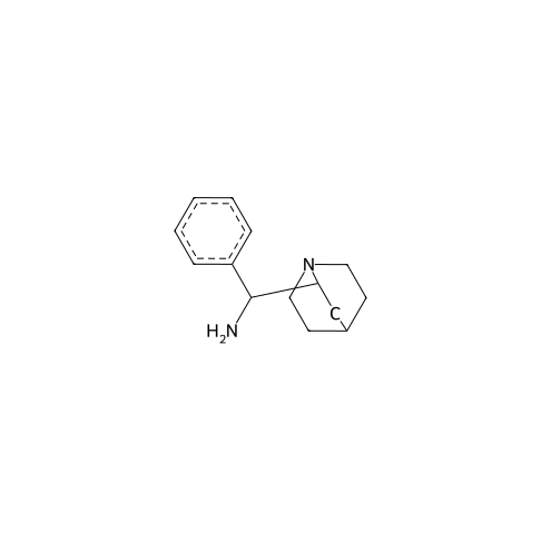 NC(c1ccccc1)C1CC2CCN1CC2